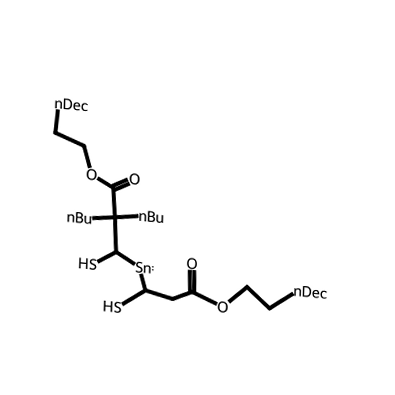 CCCCCCCCCCCCOC(=O)C[CH](S)[Sn][CH](S)C(CCCC)(CCCC)C(=O)OCCCCCCCCCCCC